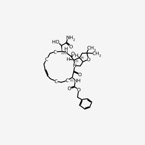 CC1(C)C[C@H]2C(CN3C(=O)[C@@H](NC(=O)OCc4ccccc4)CCCCC=CCCCC[C@@H](C(O)C(N)=O)NC(=O)[C@H]23)O1